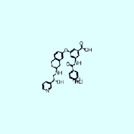 Cl.Cl.O=C(O)c1cc(NC(=O)c2ccccc2)cc(Oc2ccc3c(c2)C[C@@H](NC[C@H](O)c2cccnc2)CC3)c1